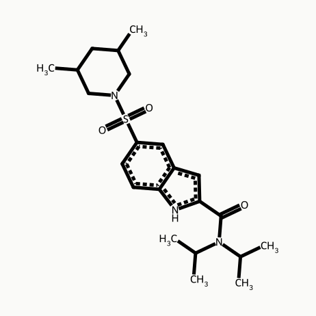 CC1CC(C)CN(S(=O)(=O)c2ccc3[nH]c(C(=O)N(C(C)C)C(C)C)cc3c2)C1